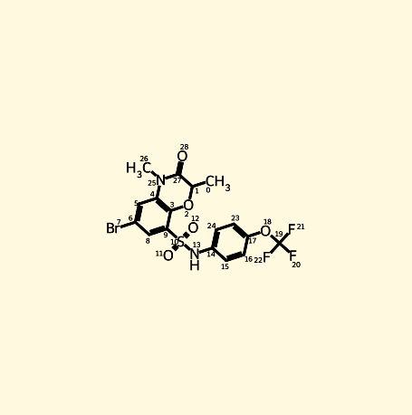 CC1Oc2c(cc(Br)cc2S(=O)(=O)Nc2ccc(OC(F)(F)F)cc2)N(C)C1=O